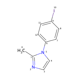 Cc1nccn1-c1ccc(I)cc1